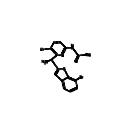 NC(c1cc2cccc(Br)c2s1)c1nc(NC(=O)O)ccc1Cl